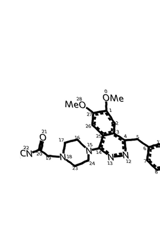 COc1cc2c(Cc3ccccc3)nnc(N3CCN(CC(=O)NC(F)(F)F)CC3)c2cc1OC